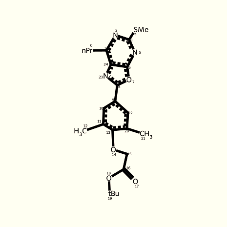 CCCc1nc(SC)nc2oc(-c3cc(C)c(OCC(=O)OC(C)(C)C)c(C)c3)nc12